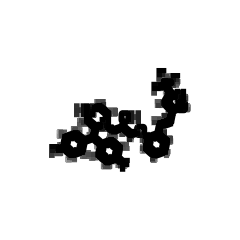 OC(COc1ccccc1/C=C/c1cc(C(F)(F)F)no1)CN1CCNCC1C(c1ccc(F)cc1)c1ccc(F)cc1